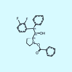 O=C(ON1CCC[C@@H]1[C@H](O)[C@H](c1ccccc1)c1cccc(F)c1F)c1ccccc1